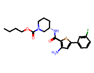 CCCCOC(=O)N1CCC[C@H](NC(=O)c2sc(-c3cccc(F)c3)cc2N)C1